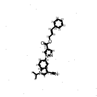 CC(C)n1cc(C#N)c2cc(-n3cc(C(=O)OCC=Cc4ccccc4)cn3)ccc21